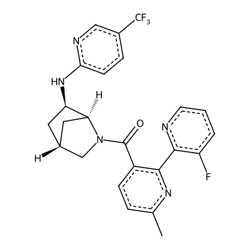 Cc1ccc(C(=O)N2C[C@@H]3C[C@@H](Nc4ccc(C(F)(F)F)cn4)[C@@H]2C3)c(-c2ncccc2F)n1